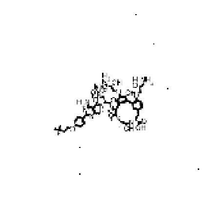 Cc1nc(-c2ccc(OCCC(C)(C)C)cc2)nc(N)c1C(=O)N[C@@H](CNS(N)(=O)=O)C(=O)N(C)C1C(=O)N[C@@H](C)C(=O)N[C@H](C(=O)O)Cc2ccc(OC[C@H](O)CN)c(c2)-c2cc1cc(OC[C@H](O)CN)c2O